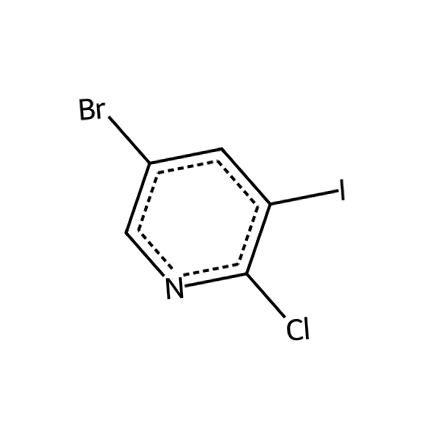 Clc1ncc(Br)cc1I